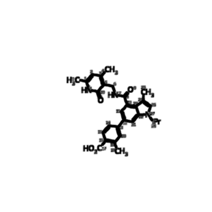 Cc1cc(C)c(CNC(=O)c2cc(-c3ccc(C(=O)O)c(C)c3)cc3c2c(C)cn3C(C)C)c(=O)[nH]1